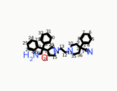 N#CC1(c2ccccc2)CCN(CCN2CCC(C(C(N)=O)(c3ccccc3)c3ccccc3)C2)CC1